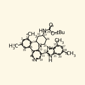 Cc1cc(C)cc(-c2cncc(-c3nc4c(C)cc(C)cc4[nH]3)c2N2CCC(NC(=O)OC(C)(C)C)CC2)c1